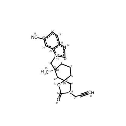 C#CCN1C[C@@]2(CCC[C@](C)(Cn3cnc4ccc(C#N)cc43)C2)OC1=O